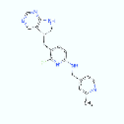 Cc1cc(CNc2ccc(CC3CNc4ncncc43)c(F)n2)ccn1